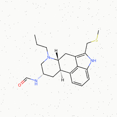 CCCN1C[C@@H](NC=O)C[C@@H]2c3cccc4[nH]c(CSC)c(c34)C[C@H]21